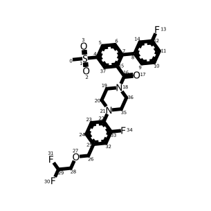 CS(=O)(=O)c1ccc(-c2cccc(F)c2)c(C(=O)N2CCN(c3ccc(COCC(F)F)cc3F)CC2)c1